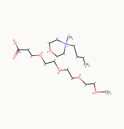 CCCC[N+]1(C)CCOCC1.COCCOCCOCCOCCC(=O)[O-]